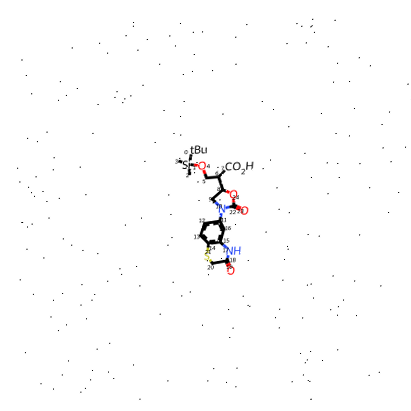 CC(C)(C)[Si](C)(C)OCC(C(=O)O)C1CN(c2ccc3c(c2)NC(=O)CS3)C(=O)O1